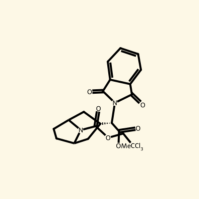 COC(=O)[C@H](C1CC2CCC(C1)N2C(=O)OCC(Cl)(Cl)Cl)N1C(=O)c2ccccc2C1=O